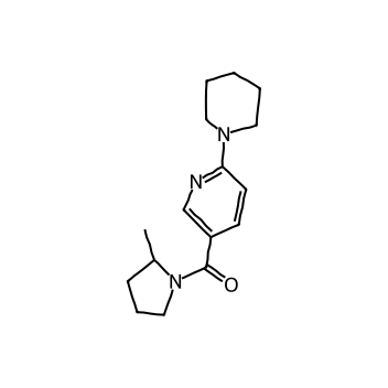 CC1CCCN1C(=O)c1ccc(N2CCCCC2)nc1